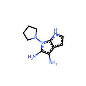 Nc1c(N)n(N2CCCC2)c2[nH]ccc12